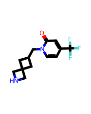 O=c1cc(C(F)(F)F)ccn1CC1CC2(CNC2)C1